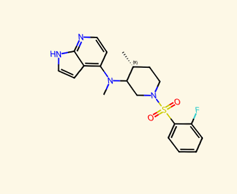 C[C@@H]1CCN(S(=O)(=O)c2ccccc2F)CC1N(C)c1ccnc2[nH]ccc12